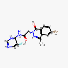 O=C(Cn1nc(C(F)(F)F)c2cc(Br)ccc2c1=O)Nc1ncncc1F